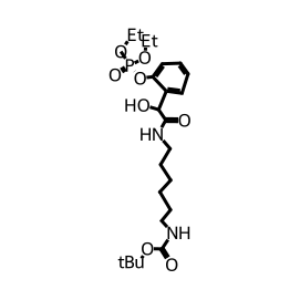 CCOP(=O)(OCC)Oc1ccccc1C(O)C(=O)NCCCCCCNC(=O)OC(C)(C)C